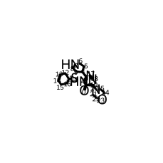 O=c1[nH]c(C2CCNCC2SC2CC=CCC2)nnc1N1CCOCC1